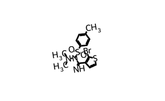 Cc1ccc(S(=O)(=O)N(C(=N)c2ccsc2Br)N(C)C)cc1